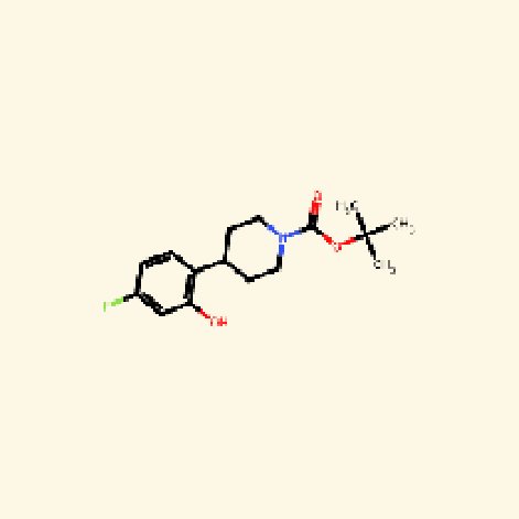 CC(C)(C)OC(=O)N1CCC(c2ccc(F)cc2O)CC1